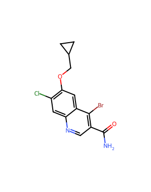 NC(=O)c1cnc2cc(Cl)c(OCC3CC3)cc2c1Br